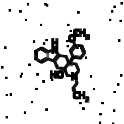 C=CCN1CC[C@@]2(c3cccc(OC)c3)Cc3[nH]c4ccccc4c3C[C@]2(O)C1